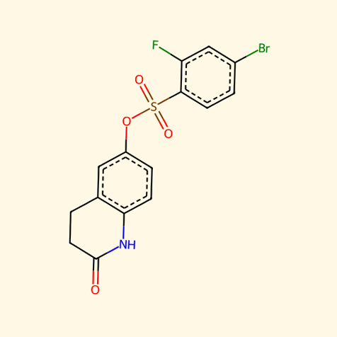 O=C1CCc2cc(OS(=O)(=O)c3ccc(Br)cc3F)ccc2N1